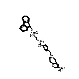 O=C(NCCNC(=O)c1ccc(CN2CCc3ncc([N+](=O)[O-])cc3C2)cc1)OCC1c2ccccc2-c2ccccc21